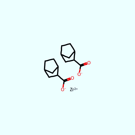 O=C([O-])C1CC2CCC1C2.O=C([O-])C1CC2CCC1C2.[Zr+2]